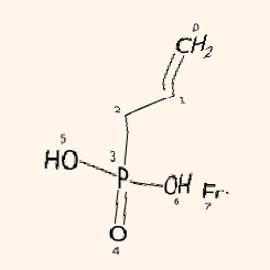 C=CCP(=O)(O)O.[Fr]